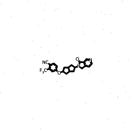 N#Cc1ccc(OC2CC3CC(N4Cc5ccncc5C4=O)CC3C2)cc1C(F)(F)F